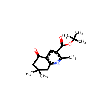 Cc1nc2c(cc1C(=O)OC(C)(C)C)C(=O)CC(C)(C)C2